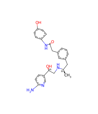 C[C@H](Cc1cccc(CC(=O)Nc2ccc(O)cc2)c1)NC[C@H](O)c1ccc(N)nc1